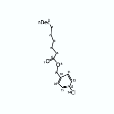 CCCCCCCCCCCCCCCC(=O)OCc1ccc(Cl)cc1